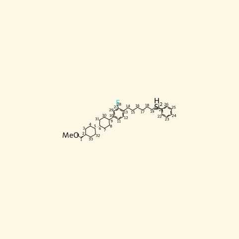 COC[C@H]1CC[C@H](C2CCC(c3ccc(CCCCCC[SiH2]c4ccccc4)c(F)c3)CC2)CC1